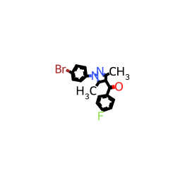 CC1=NN(c2ccc(Br)cc2)C(C)C1C(=O)c1ccc(F)cc1